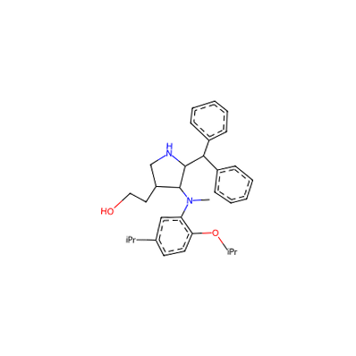 CC(C)Oc1ccc(C(C)C)cc1N(C)C1C(CCO)CNC1C(c1ccccc1)c1ccccc1